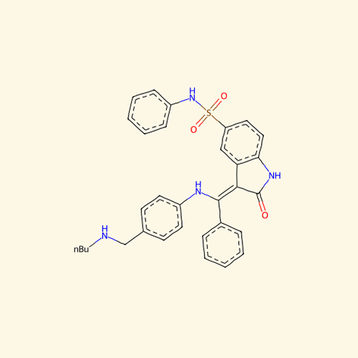 CCCCNCc1ccc(NC(=C2C(=O)Nc3ccc(S(=O)(=O)Nc4ccccc4)cc32)c2ccccc2)cc1